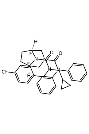 O=C(N1C[C@H]2CC[C@@H](C1)N2C(=O)N(Cc1ccc(Cl)cc1)CC1CC1)N(c1ccccc1)c1ccccc1